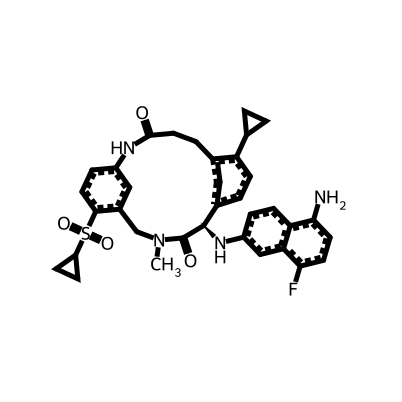 CN1Cc2cc(ccc2S(=O)(=O)C2CC2)NC(=O)CCc2cc(ccc2C2CC2)[C@@H](Nc2ccc3c(N)ccc(F)c3c2)C1=O